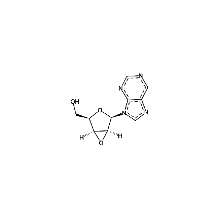 OC[C@H]1O[C@@H](n2cnc3cncnc32)[C@H]2O[C@H]21